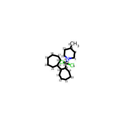 CC1CCN([Si](Cl)(Cl)C2CCCCCC2C2CCCCCC2)CC1